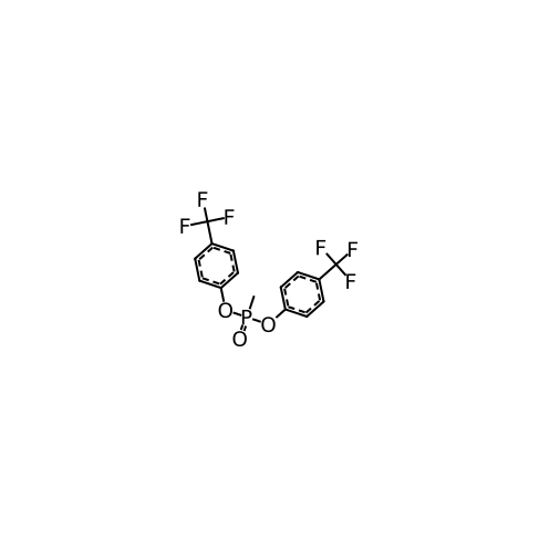 CP(=O)(Oc1ccc(C(F)(F)F)cc1)Oc1ccc(C(F)(F)F)cc1